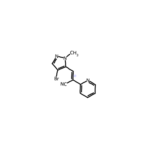 Cn1ncc(Br)c1/C=C(\C#N)c1ccccn1